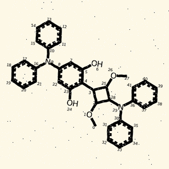 COC1C(c2c(O)cc(N(c3ccccc3)c3ccccc3)cc2O)C(OC)C1N(c1ccccc1)c1ccccc1